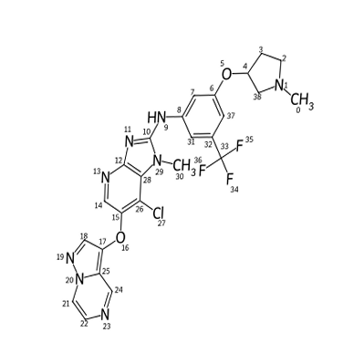 CN1CCC(Oc2cc(Nc3nc4ncc(Oc5cnn6ccncc56)c(Cl)c4n3C)cc(C(F)(F)F)c2)C1